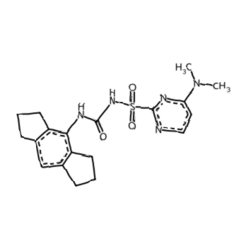 CN(C)c1ccnc(S(=O)(=O)NC(=O)Nc2c3c(cc4c2CCC4)CCC3)n1